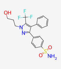 NS(=O)(=O)c1ccc(-c2nn(CCCO)c(C(F)(F)F)c2-c2ccccc2)cc1